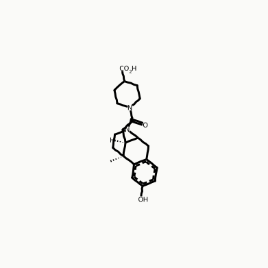 CN1CC[C@]2(C)c3cc(O)ccc3CC1[C@@H]2CC(=O)N1CCC(C(=O)O)CC1